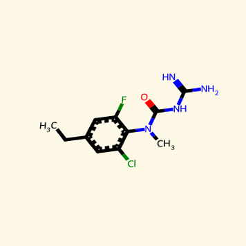 CCc1cc(F)c(N(C)C(=O)NC(=N)N)c(Cl)c1